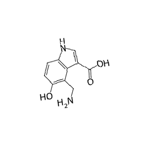 NCc1c(O)ccc2[nH]cc(C(=O)O)c12